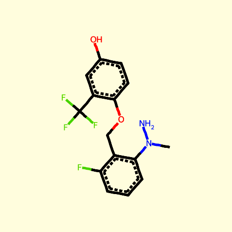 CN(N)c1cccc(F)c1COc1ccc(O)cc1C(F)(F)F